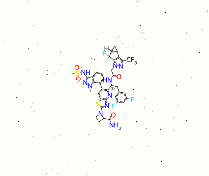 Cn1nc(NS(C)(=O)=O)c2cccc(-c3cc4sc(N5CCC5C(N)=O)nc4nc3[C@H](Cc3cc(F)cc(F)c3)NC(=O)Cn3nc(C(F)(F)F)c4c3C(F)(F)[C@@H]3CC43)c21